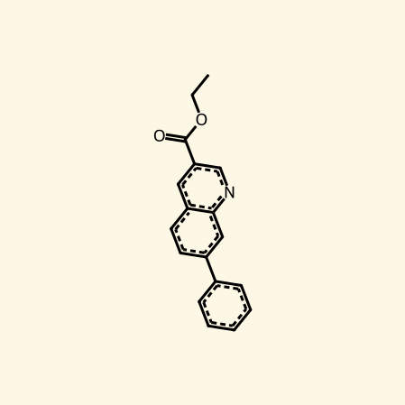 CCOC(=O)c1cnc2cc(-c3ccccc3)ccc2c1